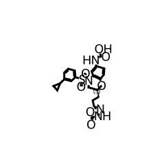 O=C(O)Nc1ccc2c(c1)N(S(=O)(=O)c1cccc(C3CC3)c1)C[C@H](CCc1n[nH]c(=O)o1)O2